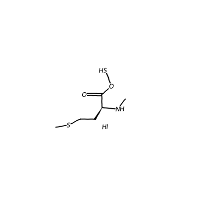 CN[C@@H](CCSC)C(=O)OS.I